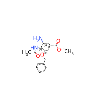 CCOC(=O)C1=C[C@@H](OCc2ccccc2)[C@H](NC(C)=O)[C@@H](N)C1